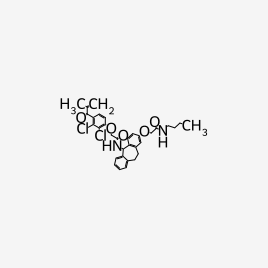 C=C(C)C(=O)c1ccc(OCC(=O)NC2c3ccccc3CCc3cc(OCC(=O)NCCCC)ccc32)c(Cl)c1Cl